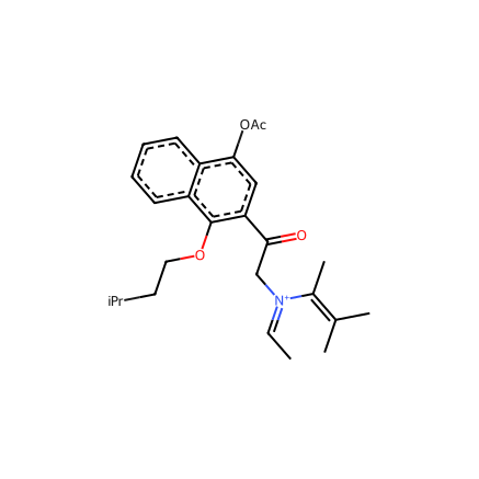 C/C=[N+](/CC(=O)c1cc(OC(C)=O)c2ccccc2c1OCCC(C)C)C(C)=C(C)C